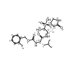 CC(C)C[C@H](NC(=O)OCc1ccccc1F)C(=O)N[C@@H](C[C@@H]1CCNC1=O)C(O)S(=O)(=O)O